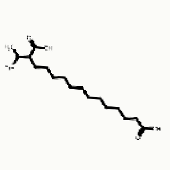 CC(C)C(CCCCCCCCCCCCC(=O)O)C(=O)O